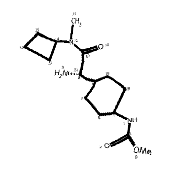 COC(=O)NC1CCC([C@H](N)C(=O)N(C)C2CCC2)CC1